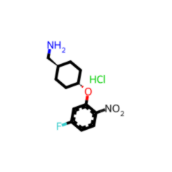 Cl.NC[C@H]1CC[C@H](Oc2cc(F)ccc2[N+](=O)[O-])CC1